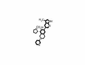 Cc1c[nH]c2ncc(-c3cc4c(c([C@@H]5CCCN5C(=O)O)c3)CN(c3cccnc3)CC4)cc12